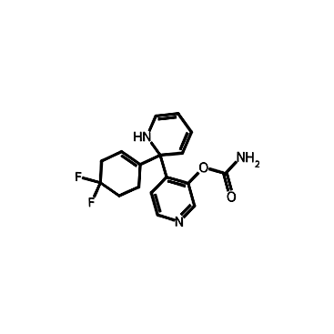 NC(=O)Oc1cnccc1C1(C2=CCC(F)(F)CC2)C=CC=CN1